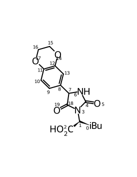 CC[C@H](C)[C@@H](C(=O)O)N1C(=O)NC(c2ccc3c(c2)OCCO3)C1=O